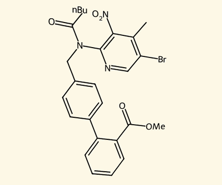 CCCCC(=O)N(Cc1ccc(-c2ccccc2C(=O)OC)cc1)c1ncc(Br)c(C)c1[N+](=O)[O-]